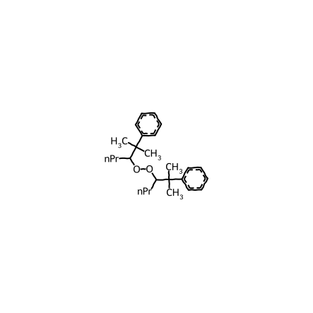 CCCC(OOC(CCC)C(C)(C)c1ccccc1)C(C)(C)c1ccccc1